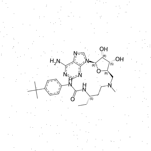 CC[C@@H](CCN(C)C[C@H]1O[C@@H](n2cnc3c(N)ncnc32)[C@H](O)[C@@H]1O)NC(=O)Nc1ccc(C(C)(C)C)cc1